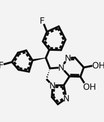 OC1=C2c3nccn3C[C@H]([C@@H](c3ccc(F)cc3)c3cccc(F)c3)N2N=CC1O